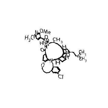 COc1nn(C)cc1C(=O)NS1(=O)=NC(=O)c2ccc3c(c2)N(Cc2ccc(Cl)cc2CCCCO3)C[C@@H]2CC[C@H]2[C@H]2O[C@H](CCN(C)C)C[C@@H]2CC[C@H](C)C1